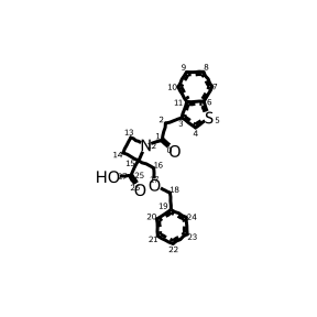 O=C(Cc1csc2ccccc12)N1CCC1(COCc1ccccc1)C(=O)O